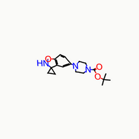 CC(C)(C)OC(=O)N1CCN(c2ccc3c(c2)C2(CC2)NO3)CC1